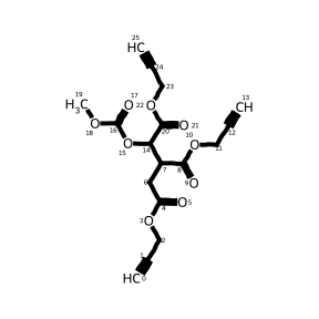 C#CCOC(=O)CC(C(=O)OCC#C)C(OC(=O)OC)C(=O)OCC#C